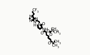 CN(C)C(=O)C=CCCC(OC(=O)N(C)C)C(=O)Nc1cccn(Cc2nc3c(CCC(F)(F)F)ncnc3[nH]2)c1=O